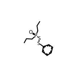 CCCP(=O)(CCC)SSc1ccccc1